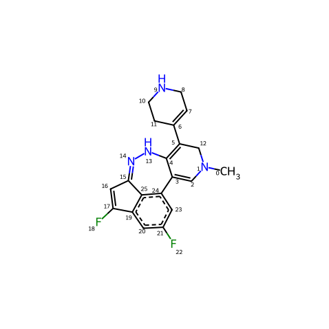 CN1C=C2C(=C(C3=CCNCC3)C1)NN=C1C=C(F)c3cc(F)cc2c31